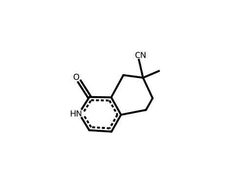 CC1(C#N)CCc2cc[nH]c(=O)c2C1